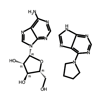 Nc1ncnc2c1ncn2[C@@H]1O[C@H](CO)[C@@H](O)[C@@H]1O.c1nc(N2CCCC2)c2nc[nH]c2n1